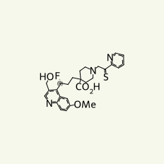 COc1ccc2ncc(CO)c([C@H](F)CCC3(C(=O)O)CCN(CC(=S)c4ccccn4)CC3)c2c1